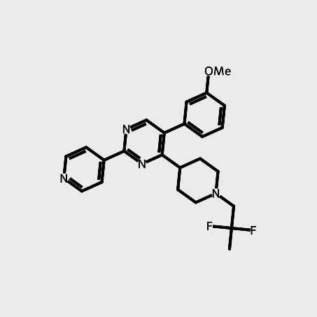 COc1cccc(-c2cnc(-c3ccncc3)nc2C2CCN(CC(C)(F)F)CC2)c1